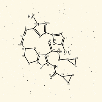 Cc1nnc(-c2cc(N=C=N[C@H]3CCc4sc(NC(=O)C5CC5)c(C(=O)NCC5CC5)c4C3)n(C)n2)o1